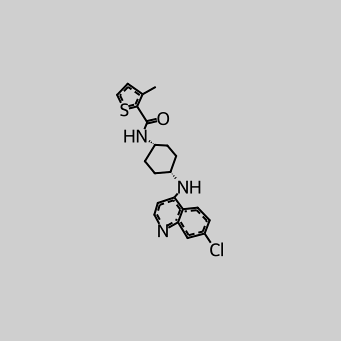 Cc1ccsc1C(=O)N[C@H]1CC[C@@H](Nc2ccnc3cc(Cl)ccc23)CC1